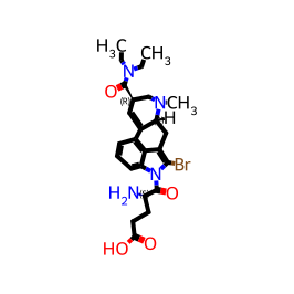 CCN(CC)C(=O)[C@@H]1C=C2c3cccc4c3c(c(Br)n4C(=O)[C@@H](N)CCC(=O)O)C[C@H]2N(C)C1